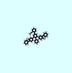 N#Cc1ccccc1-c1cc(-c2ccc3c(c2)oc2ccccc23)c(-c2ccccc2)c(-c2ccc3oc4ccccc4c3c2)c1